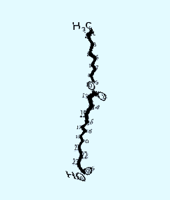 CCCCCCCCCCOC(=O)CCCCCCCCCCCC(=O)O